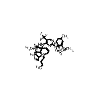 CNC(=O)C1C(C#N)(Nc2nc(NC3(P(=O)([O-])O)CC=C(C)C=C3OC)ncc2C(F)(F)F)C=CC[N+]1(CCCO)c1cn[nH]c1